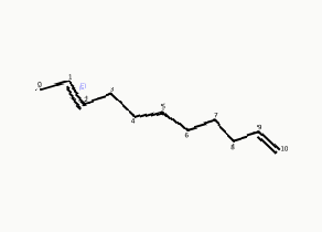 [CH2]/C=C/CCCCCCC=C